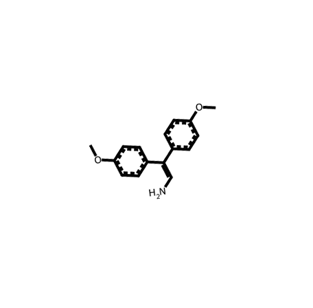 COc1ccc(C(=CN)c2ccc(OC)cc2)cc1